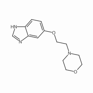 c1nc2cc(OCCN3CCOCC3)ccc2[nH]1